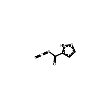 O=C(N=C=S)c1ccn[nH]1